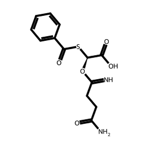 N=C(CCC(N)=O)O[C@@H](SC(=O)c1ccccc1)C(=O)O